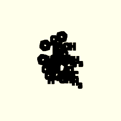 CC(=O)O[C@H]1C(=O)[C@@]2(C)[C@H]([C@H](OC(=O)c3ccccc3)[C@]3(O)C[C@H](OC(=O)[C@@H](O)[C@@H](NC(=O)c4ccccc4)c4ccccc4)C(C)=C1C3(C)C)[C@]1(OC(C)=O)CO[C@@H]1C[C@@H]2O